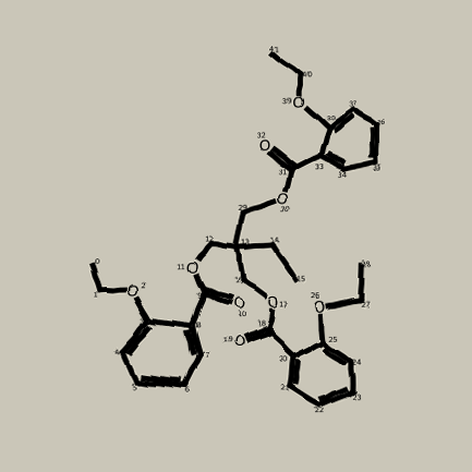 CCOc1ccccc1C(=O)OCC(CC)(COC(=O)c1ccccc1OCC)COC(=O)c1ccccc1OCC